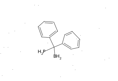 BC(P)(c1ccccc1)c1ccccc1